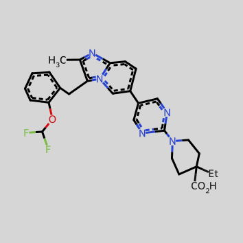 CCC1(C(=O)O)CCN(c2ncc(-c3ccc4nc(C)c(Cc5ccccc5OC(F)F)n4c3)cn2)CC1